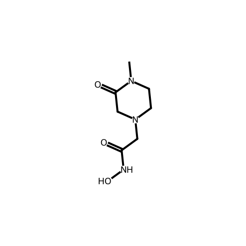 CN1CCN(CC(=O)NO)CC1=O